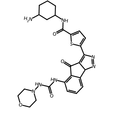 NC1CCCC(NC(=O)c2ccc(C3=C4C(=O)c5c(NC(=O)NN6CCOCC6)cccc5C4N=N3)s2)C1